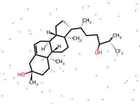 C[C@H](CCC(O)[C@H](C)C(F)(F)F)[C@H]1CC[C@H]2[C@@H]3CC=C4C[C@@](C)(O)CC[C@]4(C)[C@H]3CC[C@]12C